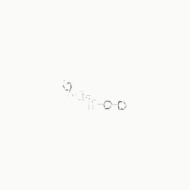 c1ccc(-c2ccc(CCNCN3CCC(Oc4ccncc4)CC3)cc2)cc1